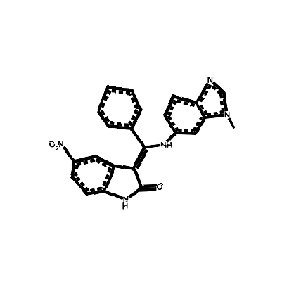 Cn1cnc2ccc(NC(=C3C(=O)Nc4ccc([N+](=O)[O-])cc43)c3ccccc3)cc21